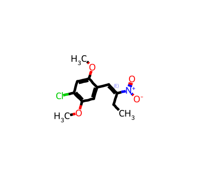 CC/C(=C\c1cc(OC)c(Cl)cc1OC)[N+](=O)[O-]